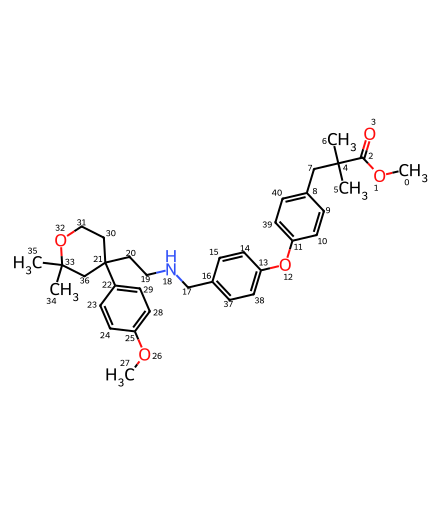 COC(=O)C(C)(C)Cc1ccc(Oc2ccc(CNCCC3(c4ccc(OC)cc4)CCOC(C)(C)C3)cc2)cc1